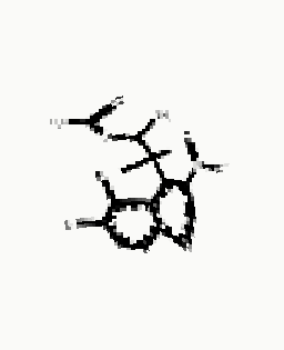 CC(C)(c1c([N+](=O)[O-])cnc2ccc(Br)c(F)c12)C(N)OC(N)=O